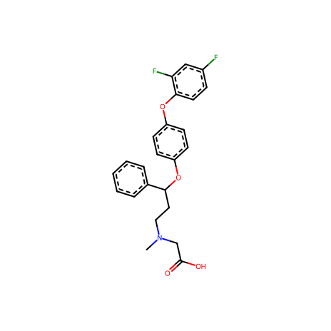 CN(CCC(Oc1ccc(Oc2ccc(F)cc2F)cc1)c1ccccc1)CC(=O)O